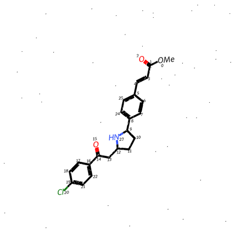 COC(=O)/C=C/c1ccc(C2CCC(CC(=O)c3ccc(Cl)cc3)N2)cc1